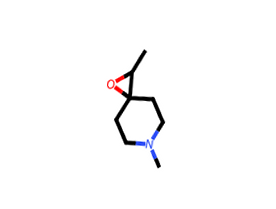 CC1OC12CCN(C)CC2